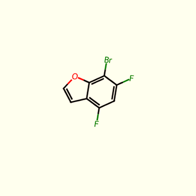 Fc1cc(F)c2ccoc2c1Br